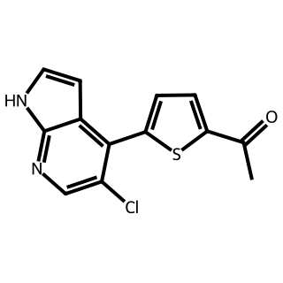 CC(=O)c1ccc(-c2c(Cl)cnc3[nH]ccc23)s1